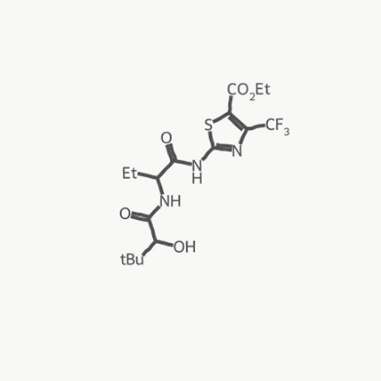 CCOC(=O)c1sc(NC(=O)C(CC)NC(=O)C(O)C(C)(C)C)nc1C(F)(F)F